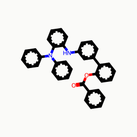 O=C(Oc1ccccc1-c1cccc(Nc2ccccc2N(c2ccccc2)c2ccccc2)c1)c1ccccc1